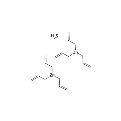 C=C[CH2][Zn]([CH2]C=C)[CH2]C=C.C=C[CH2][Zn]([CH2]C=C)[CH2]C=C.S